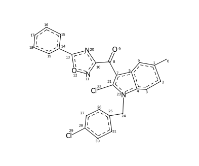 Cc1ccc2c(c1)c(C(=O)c1noc(-c3ccccc3)n1)c(Cl)n2Cc1ccc(Cl)cc1